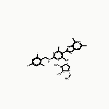 Cc1cc2sc(-c3c(C)nc(NCc4c(F)cc(F)cc4F)nc3N[C@@H]3C[C@H](CO)[C@@H](O)[C@H]3O)nc2c(C)n1